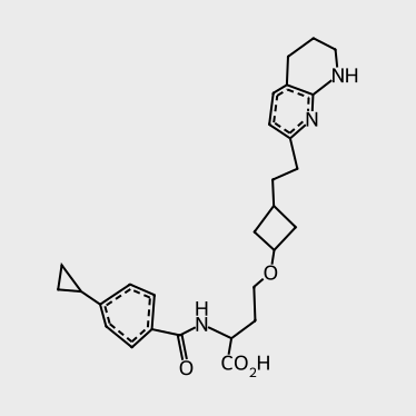 O=C(NC(CCOC1CC(CCc2ccc3c(n2)NCCC3)C1)C(=O)O)c1ccc(C2CC2)cc1